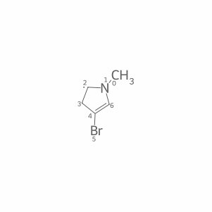 CN1[CH]CC(Br)=C1